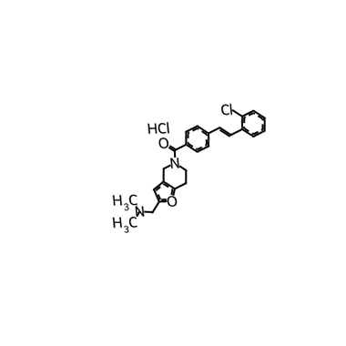 CN(C)Cc1cc2c(o1)CCN(C(=O)c1ccc(C=Cc3ccccc3Cl)cc1)C2.Cl